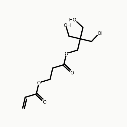 C=CC(=O)OCCC(=O)OCC(CO)(CO)CO